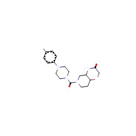 O=C1CO[C@H]2CCN(C(=O)N3CCN(c4ccc(C(F)(F)F)cc4)CC3)C[C@H]2N1